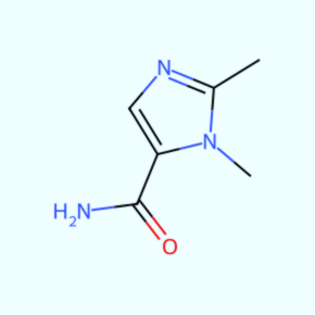 Cc1ncc(C(N)=O)n1C